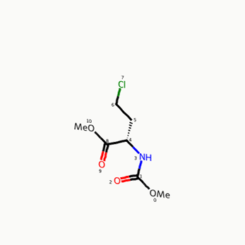 COC(=O)N[C@@H](CCCl)C(=O)OC